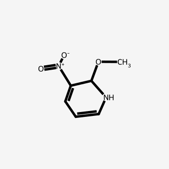 CO[C]1NC=CC=C1[N+](=O)[O-]